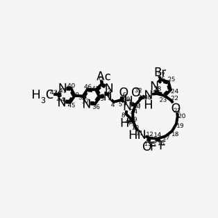 CC(=O)c1nn(CC(=O)N2C[C@H]3CNC(=O)C(F)(F)CCCCOCc4ccc(Br)nc4NC(=O)[C@@H]2C3)c2cnc(-c3cnc(C)nc3)cc12